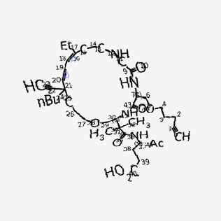 C#CCCCOC[C@@H]1NC(=O)CNCCC/C(CC)=C\C=C/C(C#C)(CCCC)CCCOC[C@H](C(C)(C)C(=O)N[C@@H](CCC(=O)O)C(C)=O)NC1=O